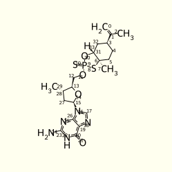 C=C(C)[C@H]1CC[C@@]2(C)S[P@](=S)(OC[C@H]3O[C@@H](n4cnc5c(=O)[nH]c(N)nc54)C[C@@H]3C)O[C@@H]2C1